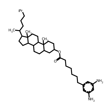 CC(C)CCCC(C)C1CCC2C3CCC4CC(OC(=O)CCCCCCc5cc(N)cc(N)c5)CCC4(C)C3CCC12C